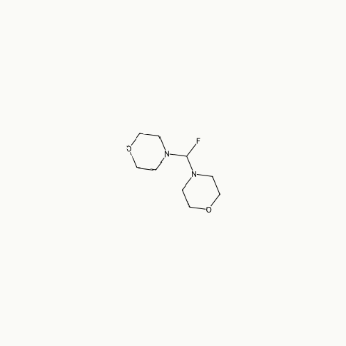 FC(N1CCOCC1)N1CCOCC1